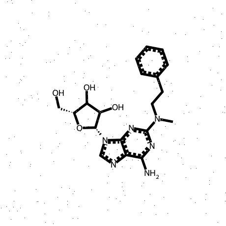 CN(CCc1ccccc1)c1nc(N)c2ncn([C@@H]3O[C@H](CO)C(O)C3O)c2n1